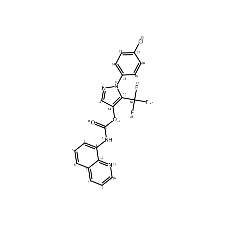 O=C(Nc1cccc2cccnc12)Oc1cnn(-c2ccc(Cl)cc2)c1C(F)(F)F